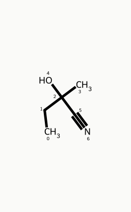 CCC(C)(O)C#N